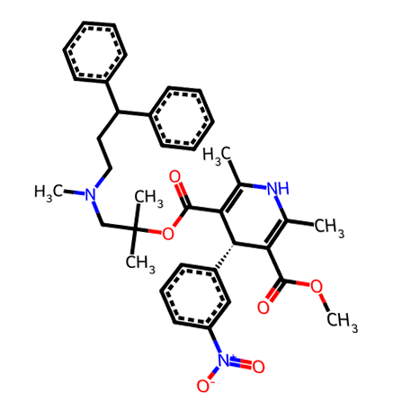 COC(=O)C1=C(C)NC(C)=C(C(=O)OC(C)(C)CN(C)CCC(c2ccccc2)c2ccccc2)[C@H]1c1cccc([N+](=O)[O-])c1